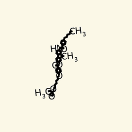 CCCCCCc1ccc(C(=O)Nc2ccc3c(c2)C(C)c2cc(OC(=O)c4ccc(OCCCCCCOCC5(CC)COC5)cc4)ccc2-3)cc1